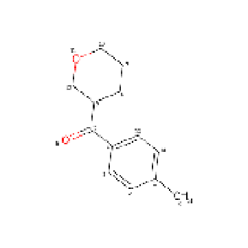 Cc1ccc(C(=O)C2CCCOC2)cc1